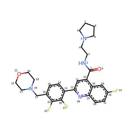 O=C(NCCN1CCCC1)c1cc(-c2ccc(CN3CCOCC3)c(F)c2F)nc2ccc(F)cc12